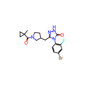 CC1(C(=O)N2CCC(Cc3n[nH]c(=O)n3-c3ccc(Br)cc3F)C2)CC1